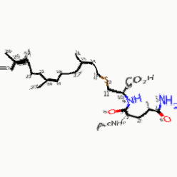 CC(=O)N[C@@H](CCC(N)=O)C(=O)N[C@@H](CSCC=C(C)CCC=C(C)CCC=C(C)C)C(=O)O